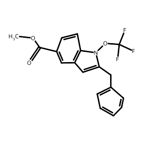 COC(=O)c1ccc2c(c1)cc(Cc1ccccc1)n2OC(F)(F)F